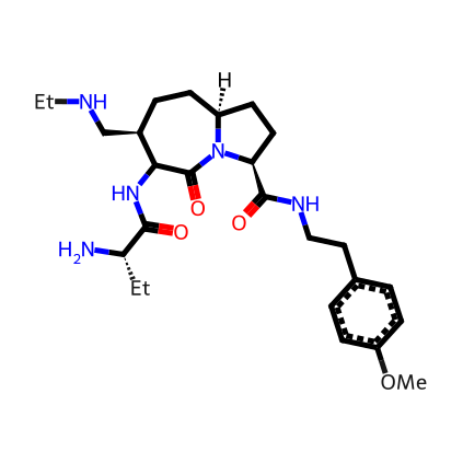 CCNC[C@H]1CC[C@H]2CC[C@@H](C(=O)NCCc3ccc(OC)cc3)N2C(=O)C1NC(=O)[C@@H](N)CC